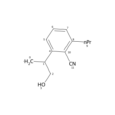 [CH2]C(CO)c1cccc(CCC)c1C#N